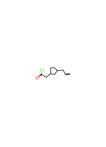 C=CCC1CCC(CC(=O)Cl)C1